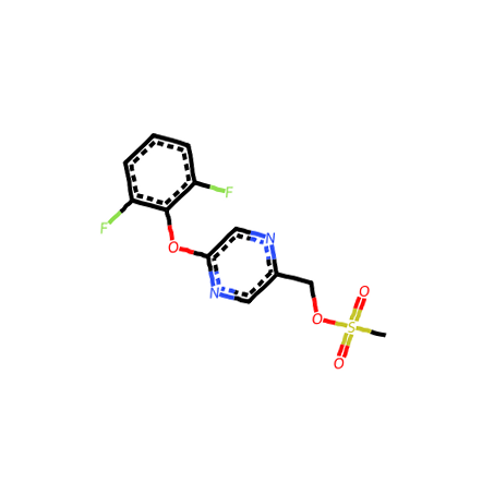 CS(=O)(=O)OCc1cnc(Oc2c(F)cccc2F)cn1